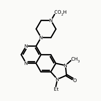 CCn1c(=O)n(C)c2cc3c(N4CCN(C(=O)O)CC4)ncnc3cc21